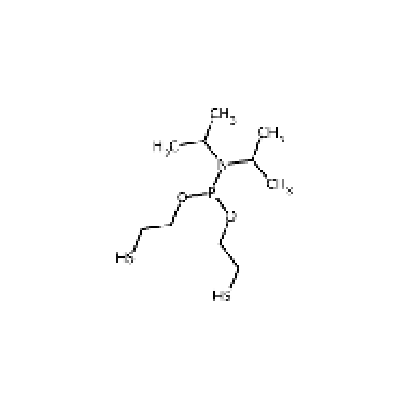 CC(C)N(C(C)C)P(OCCS)OCCS